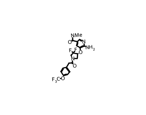 CNC(=O)c1cnc(N)c(O[C@@H]2CN(C(=O)Cc3ccc(OC(F)(F)F)cc3)CC2(F)F)c1